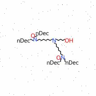 CCCCCCCCCCCCN(CCCCCCCCN(CCCCCO)CCCCCCCCN(CCCCCCCCCCCC)C(=O)CCCCCCCCCCC)C(=O)CCCCCCCCCCC